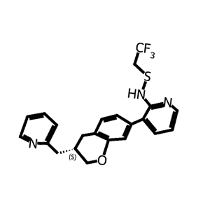 FC(F)(F)CSNc1ncccc1-c1ccc2c(c1)OC[C@H](Cc1ccccn1)C2